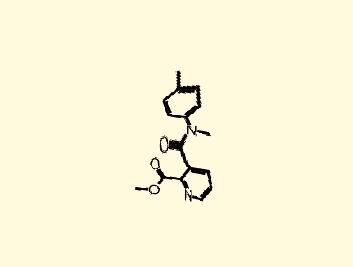 COC(=O)c1ncccc1C(=O)N(C)c1ccc(C)cc1